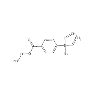 [CH2]CCOOC(=O)c1ccc([Si](C=C)(C=C)CC)cc1